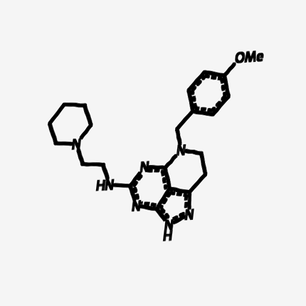 COc1ccc(CN2CCc3n[nH]c4nc(NCCN5CCCCC5)nc2c34)cc1